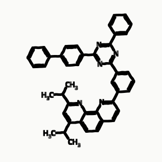 CC(C)c1cc(C(C)C)c2ccc3ccc(-c4cccc(-c5nc(-c6ccccc6)nc(-c6ccc(-c7ccccc7)cc6)n5)c4)nc3c2n1